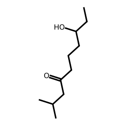 CCC(O)CCCC(=O)CC(C)C